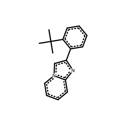 CC(C)(C)c1ccccc1-c1cn2ccccc2n1